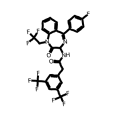 O=C(Cc1cc(C(F)(F)F)cc(C(F)(F)F)c1)NC1N=C(c2ccc(F)cc2)c2ccccc2N(CC(F)(F)F)C1=O